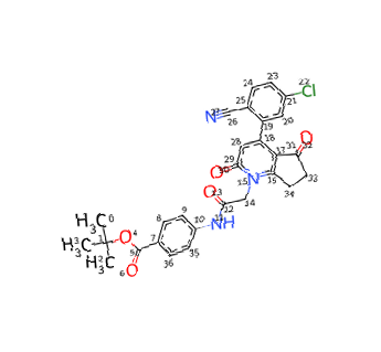 CC(C)(C)OC(=O)c1ccc(NC(=O)Cn2c3c(c(-c4cc(Cl)ccc4C#N)cc2=O)C(=O)CC3)cc1